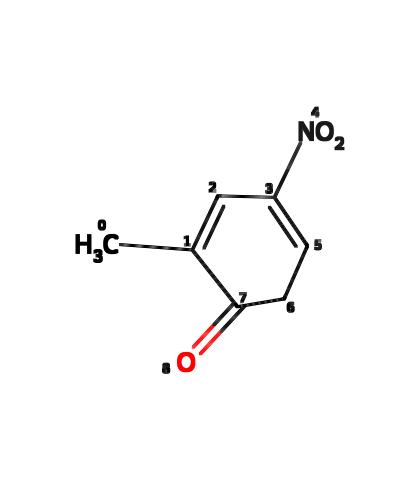 CC1=CC([N+](=O)[O-])=CCC1=O